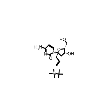 C=CC[C@]1(n2ccc(N)nc2=O)C[C@H](O)[C@@H](CO)O1.CC(C)(C)[Si](C)(C)C